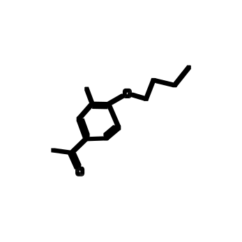 CCCCOc1ccc(C(C)=O)cc1C